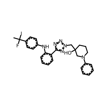 CC(F)(I)c1ccc(Nc2ccccc2-c2nnn(CC3(O)CCCN(c4ccccc4)C3)n2)cc1